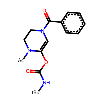 CC(=O)N1CCN(C(=O)c2ccccc2)C=C1OC(=O)NC(C)(C)C